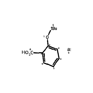 CC(C)(C)Oc1ccccc1C(=O)O.[B]